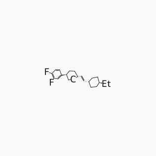 CC[C@H]1CC[C@H](C=C[C@H]2CC[C@H](c3ccc(F)c(F)c3)CC2)CC1